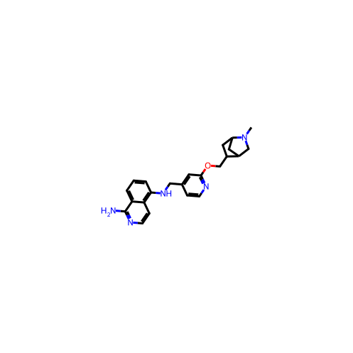 CN1CC2CC1CC2COc1cc(CNc2cccc3c(N)nccc23)ccn1